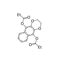 CCC(=O)Oc1c2c(c(OC(=O)CC)c3ccccc13)OCCO2